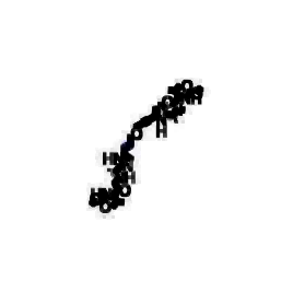 COC(=O)N[C@@H](C(=O)CN[C@H](C)c1ncc(/C=C/COCC#Cc2cnc([C@@H](C)N(C)C(=O)[C@H](NC(=O)OC)C(C)C)[nH]2)[nH]1)C(C)C